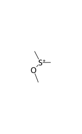 CO[S+](C)C